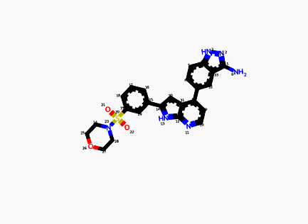 Nc1n[nH]c2ccc(-c3ccnc4[nH]c(-c5cccc(S(=O)(=O)N6CCOCC6)c5)cc34)cc12